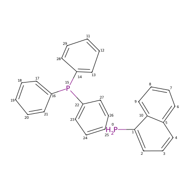 Pc1cccc2ccccc12.c1ccc(P(c2ccccc2)c2ccccc2)cc1